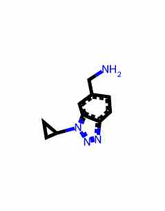 NCc1ccc2nnn(C3CC3)c2c1